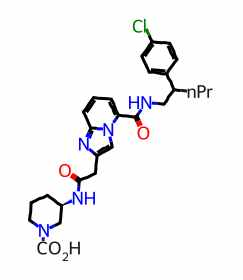 CCCC(CNC(=O)c1cccc2nc(CC(=O)N[C@@H]3CCCN(C(=O)O)C3)cn12)c1ccc(Cl)cc1